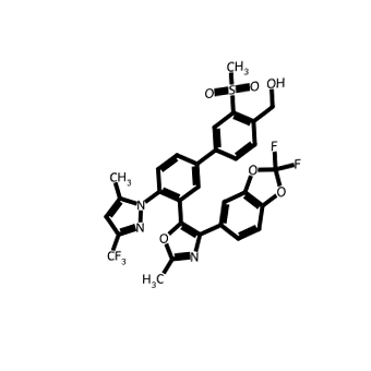 Cc1nc(-c2ccc3c(c2)OC(F)(F)O3)c(-c2cc(-c3ccc(CO)c(S(C)(=O)=O)c3)ccc2-n2nc(C(F)(F)F)cc2C)o1